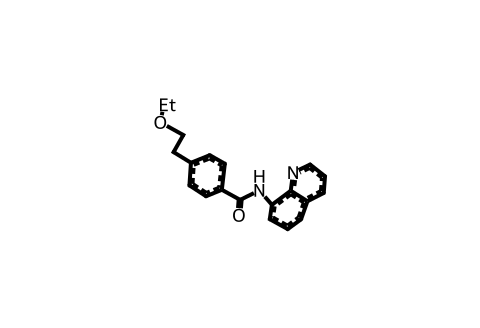 CCOCCc1ccc(C(=O)Nc2cccc3cccnc23)cc1